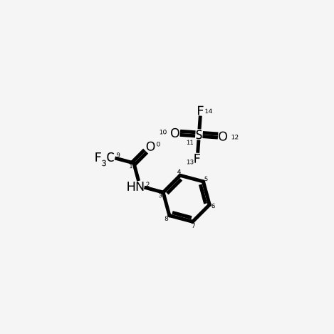 O=C(Nc1ccccc1)C(F)(F)F.O=S(=O)(F)F